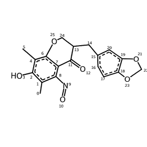 Cc1c(O)c(C)c2c(c1N=O)C(=O)C(Cc1ccc3c(c1)OCO3)CO2